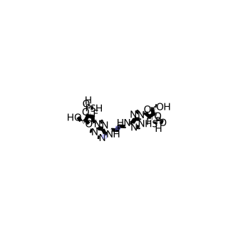 C=Nc1c(/C(=N\C)NC/C=C/CNc2ncnc3c2ncn3[C@@H]2O[C@H](CO)[C@@H](O[PH](=O)S)[C@H]2F)ncn1[C@@H]1O[C@H](CO)[C@@H](O[PH](=O)S)[C@H]1F